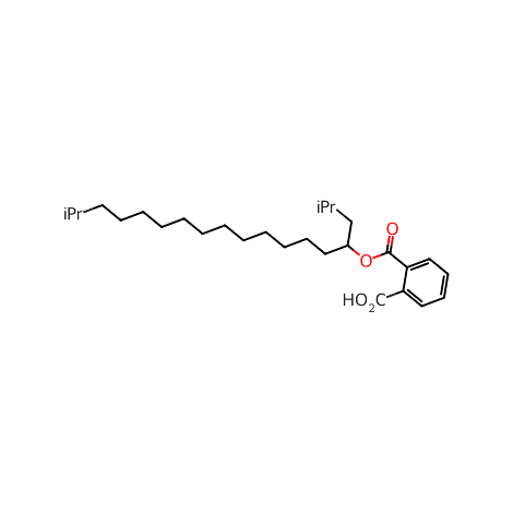 CC(C)CCCCCCCCCCCCC(CC(C)C)OC(=O)c1ccccc1C(=O)O